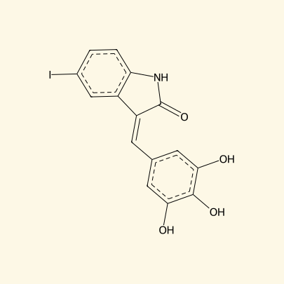 O=C1Nc2ccc(I)cc2C1=Cc1cc(O)c(O)c(O)c1